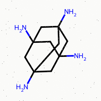 NC12CC3(N)CC(N)(C1)CC(N)(C2)C3